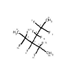 CC(F)(F)C(F)(F)C(F)(C(C)(F)F)C(C)(F)F